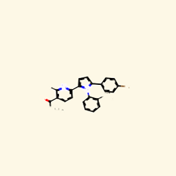 CCc1nc(-c2ccc(-c3ccc(Br)cc3)n2-c2ccccc2C(F)(F)F)ccc1C(=O)OC